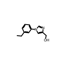 CCc1cccc(-n2cnc(CO)c2)c1